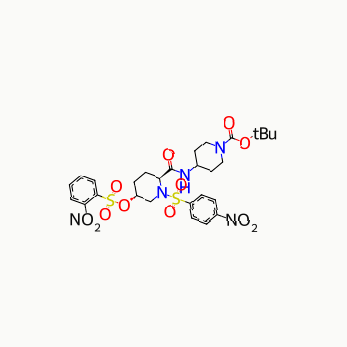 CC(C)(C)OC(=O)N1CCC(NC(=O)[C@@H]2CC[C@H](OS(=O)(=O)c3ccccc3[N+](=O)[O-])CN2S(=O)(=O)c2ccc([N+](=O)[O-])cc2)CC1